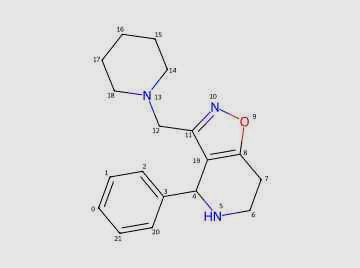 c1ccc(C2NCCc3onc(CN4CCCCC4)c32)cc1